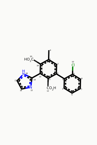 Cc1cc(-c2ccccc2Cl)c(C(=O)O)c(-c2ncc[nH]2)c1C(=O)O